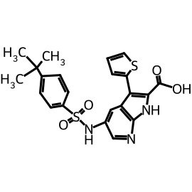 CC(C)(C)c1ccc(S(=O)(=O)Nc2cnc3[nH]c(C(=O)O)c(-c4cccs4)c3c2)cc1